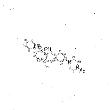 CC(=O)N1CCN(c2ccc(CN3C[C@H](C)OCC(c4ccccc4)S3(O)O)c(F)c2)CC1